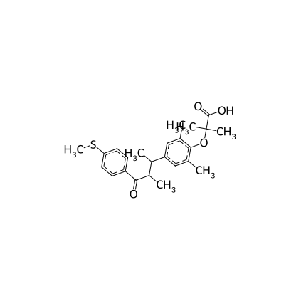 CSc1ccc(C(=O)C(C)C(C)c2cc(C)c(OC(C)(C)C(=O)O)c(C)c2)cc1